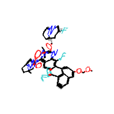 COCOc1cc(-c2c(F)cc3c(N4CC5CCC(C)(C4)N5C(=O)OC(C)(C)C)nc(OC[C@]45CCCN4C[C@@H](F)C5)nc3c2F)c2c(C(F)F)cccc2c1